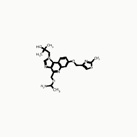 Cc1nc(COc2ccc3c(c2)nc(COC(C)N)c2ncn(CC(C)(C)O)c23)cs1